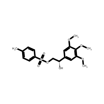 COc1cc([C@H](O)COS(=O)(=O)c2ccc(C)cc2)cc(OC)c1OC